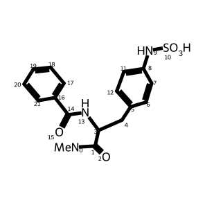 CNC(=O)C(Cc1ccc(NS(=O)(=O)O)cc1)NC(=O)c1ccccc1